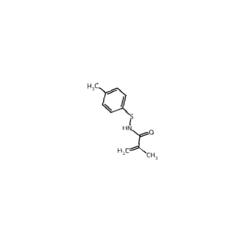 C=C(C)C(=O)NSc1ccc(C)cc1